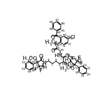 CO[C@@](C(=O)NCCCC[C@H](NC(=O)[C@](OC)(c1ccccc1)C(F)(F)F)C(=O)NCC(=O)N(C)c1ccc(Cl)cc1C(=O)c1ccccc1)(c1ccccc1)C(F)(F)F